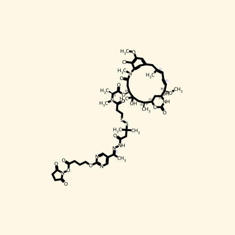 COc1cc2cc(c1Cl)N(C)C(=O)C[C@H](OC(=O)[C@H](C)N(C)C(=O)CCSSC(C)(C)CC(=O)N/N=C(\C)c1cnc(OCCCC(=O)ON3C(=O)CCC3=O)nc1)C(C)(O)C[C@H](C)[C@@H]1C[C@@](O)(NC(=O)O1)[C@H](OC)/C=C/C=C(\C)C2